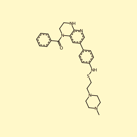 CN1CCN(CCSNc2ccc(-c3cnc4c(c3)N(C(=O)c3ccccc3)CCN4)cc2)CC1